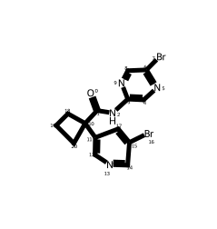 O=C(Nc1cnc(Br)cn1)C1(c2cncc(Br)c2)CCC1